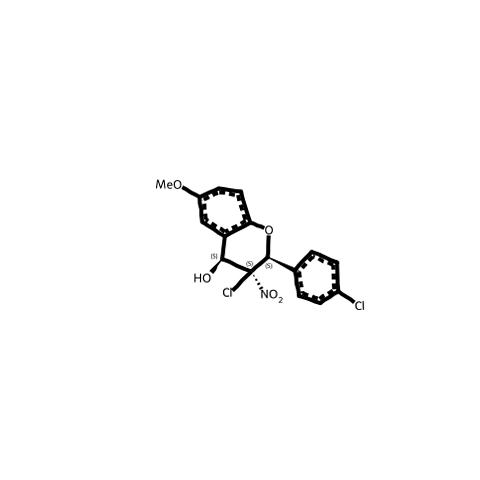 COc1ccc2c(c1)[C@H](O)[C@@](Cl)([N+](=O)[O-])[C@H](c1ccc(Cl)cc1)O2